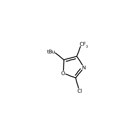 CC(C)(C)c1oc(Cl)nc1C(F)(F)F